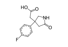 O=C(O)CC1(c2ccc(F)cc2)CNC(=O)C1